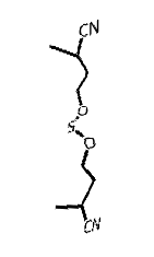 CC(C#N)CCOSOCCC(C)C#N